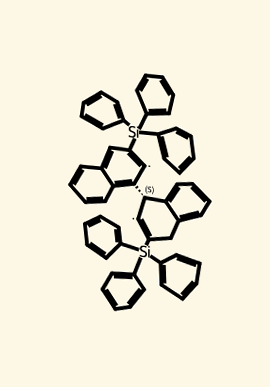 [C]1=C([Si](c2ccccc2)(c2ccccc2)c2ccccc2)Cc2ccccc2[C@H]1c1[c]c([Si](c2ccccc2)(c2ccccc2)c2ccccc2)cc2ccccc12